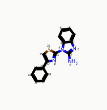 Nc1nc2ccccc2n1-c1nc(-c2ccccc2)cs1